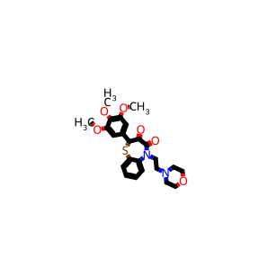 COc1cc(C2Sc3ccccc3N(CCN3CCOCC3)C(=O)C2=O)cc(OC)c1OC